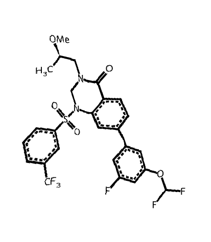 CO[C@H](C)CN1CN(S(=O)(=O)c2cccc(C(F)(F)F)c2)c2cc(-c3cc(F)cc(OC(F)F)c3)ccc2C1=O